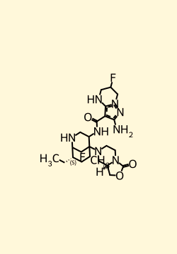 CC[C@H]1CC(C)C2(N3CCN4C(=O)OC[C@@H]4C3)C(NC(=O)c3c(N)nn4c3NCC(F)C4)CNC1C2F